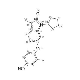 Cc1cc(C#N)ccc1Nc1cc2c(cn1)n(C)c(=O)n2C1CCCC1